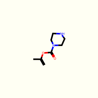 C=C(C)OC(=O)N1CCNCC1